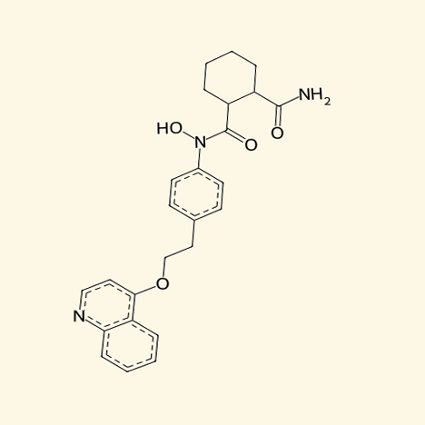 NC(=O)C1CCCCC1C(=O)N(O)c1ccc(CCOc2ccnc3ccccc23)cc1